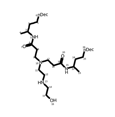 CCCCCCCCCCCCC(C)NC(=O)CCN(CCNCCO)CCC(=O)NC(C)CCCCCCCCCCCC